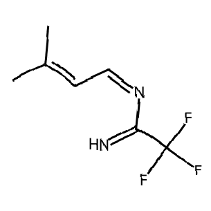 CC(C)=C/C=N\C(=N)C(F)(F)F